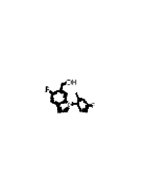 Cc1cc(F)ccc1-n1ccc2cc(F)c(CO)cc21